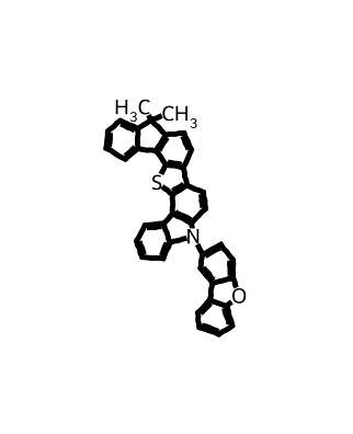 CC1(C)c2ccccc2-c2c1ccc1c2sc2c1ccc1c2c2ccccc2n1-c1ccc2oc3ccccc3c2c1